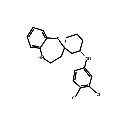 Clc1ccc(N[C@H]2CCC[C@@]3(CCNc4ccccc4S3)C2)cc1Cl